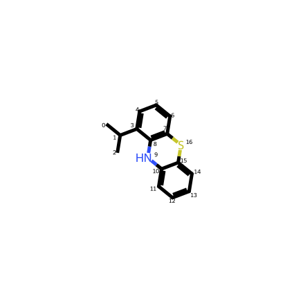 CC(C)c1cccc2c1Nc1ccccc1S2